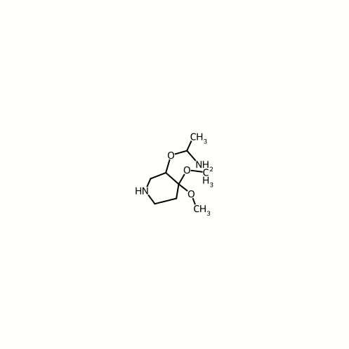 COC1(OC)CCNCC1OC(C)N